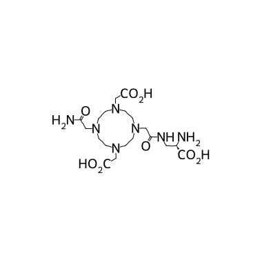 NC(=O)CN1CCN(CC(=O)O)CCN(CC(=O)NC[C@@H](N)C(=O)O)CCN(CC(=O)O)CC1